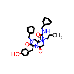 C=CCN(C(=O)NCc1ccccc1)N1CC(=O)N2[C@@H](Cc3ccc(O)cc3)C(=O)N(Cc3ccccc3)C[C@@H]21